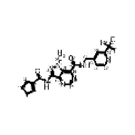 Cn1nc(NC(=O)C2=CCC=C2)c2ncnc(C(=O)NCc3ccnc(C(F)(F)F)c3)c21